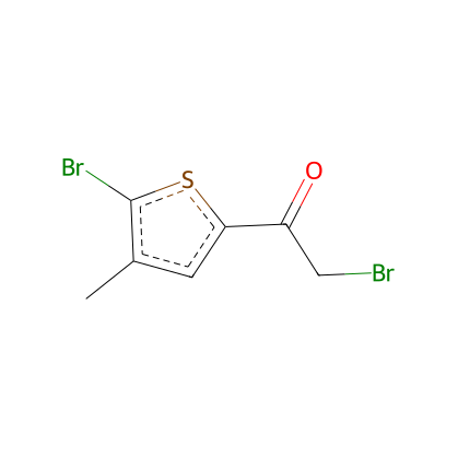 Cc1cc(C(=O)CBr)sc1Br